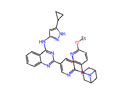 CCOc1ccc(CN2C3CC2CN(c2ccc(-c4nc(Nc5cc(C6CC6)[nH]n5)c5ccccc5n4)cn2)C3)cn1